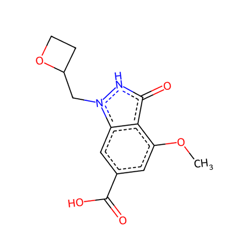 COc1cc(C(=O)O)cc2c1c(=O)[nH]n2CC1CCO1